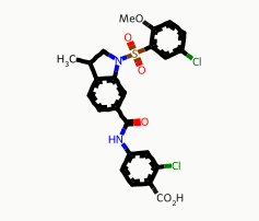 COc1ccc(Cl)cc1S(=O)(=O)N1CC(C)c2ccc(C(=O)Nc3ccc(C(=O)O)c(Cl)c3)cc21